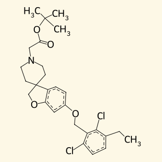 CCc1ccc(Cl)c(COc2ccc3c(c2)OCC32CCN(CC(=O)OC(C)(C)C)CC2)c1Cl